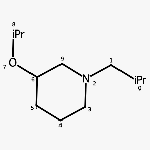 CC(C)CN1CC[CH]C(OC(C)C)C1